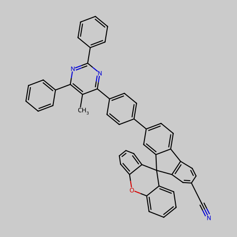 Cc1c(-c2ccccc2)nc(-c2ccccc2)nc1-c1ccc(-c2ccc3c(c2)C2(c4ccccc4Oc4ccccc42)c2cc(C#N)ccc2-3)cc1